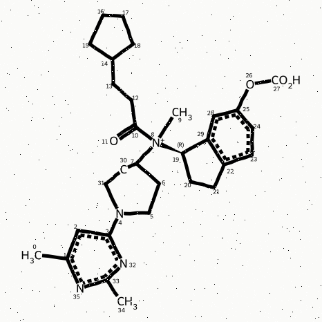 Cc1cc(N2CCC([N+](C)(C(=O)CCC3CCCC3)[C@@H]3CCc4ccc(OC(=O)O)cc43)CC2)nc(C)n1